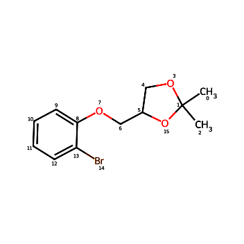 CC1(C)OCC(COc2ccccc2Br)O1